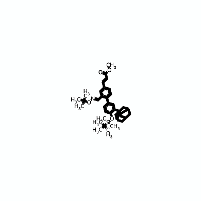 COC(=O)C=Cc1ccc(-c2ccc(O[Si](C)(C)C(C)(C)C)c(C34CC5CC(CC(C5)C3)C4)c2)c(C=NOC(C)(C)C)c1